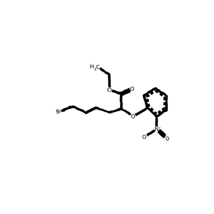 CCOC(=O)C(CCCCBr)Oc1ccccc1[N+](=O)[O-]